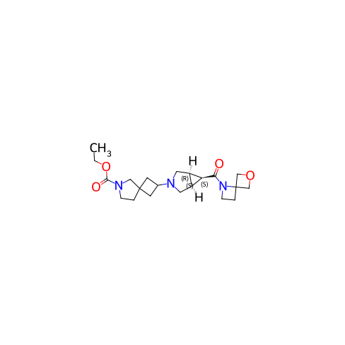 CCOC(=O)N1CCC2(CC(N3C[C@@H]4[C@H](C3)[C@@H]4C(=O)N3CCC34COC4)C2)C1